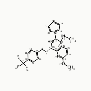 CNC(=O)C(N[C@@H](CCc1ccc(C(F)(F)F)cc1)c1cccc(OC)n1)c1ccccc1